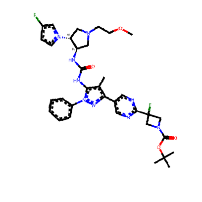 COCCN1C[C@@H](n2ccc(F)c2)[C@H](NC(=O)Nc2c(C)c(-c3cnc(C4(F)CN(C(=O)OC(C)(C)C)C4)nc3)nn2-c2ccccc2)C1